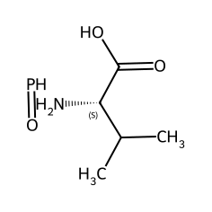 CC(C)[C@H](N)C(=O)O.O=P